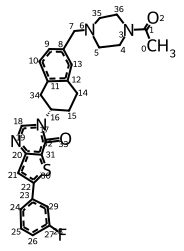 CC(=O)N1CCN(Cc2ccc3c(c2)CC[C@H](n2cnc4cc(-c5cccc(F)c5)sc4c2=O)C3)CC1